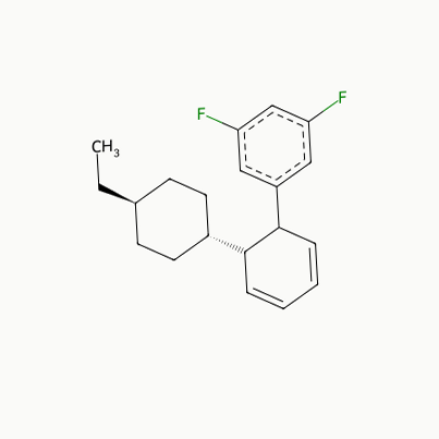 CC[C@H]1CC[C@H](C2C=CC=CC2c2cc(F)cc(F)c2)CC1